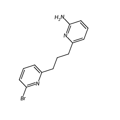 Nc1cccc(CCCc2cccc(Br)n2)n1